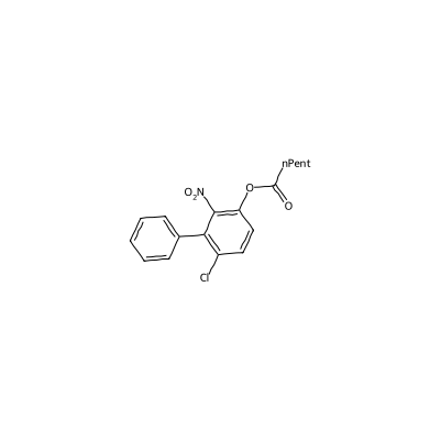 CCCCCC(=O)Oc1ccc(Cl)c(-c2ccccc2)c1[N+](=O)[O-]